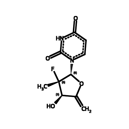 C=C1O[C@@H](n2ccc(=O)[nH]c2=O)[C@@](C)(F)[C@@H]1O